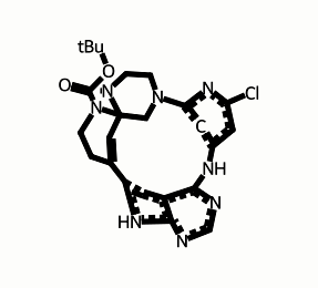 CN1CCN2CC13C=C(CCN3C(=O)OC(C)(C)C)c1cc3c(ncnc3[nH]1)Nc1cc(Cl)nc2c1